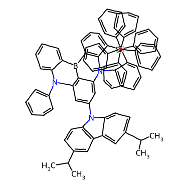 CC(C)c1ccc2c(c1)c1cc(C(C)C)ccc1n2-c1cc2c3c(c1)N(c1ccccc1[Si](c1ccccc1)(c1ccccc1)c1ccccc1)c1c(cccc1[Si](c1ccccc1)(c1ccccc1)c1ccccc1)B3c1ccccc1N2c1ccccc1